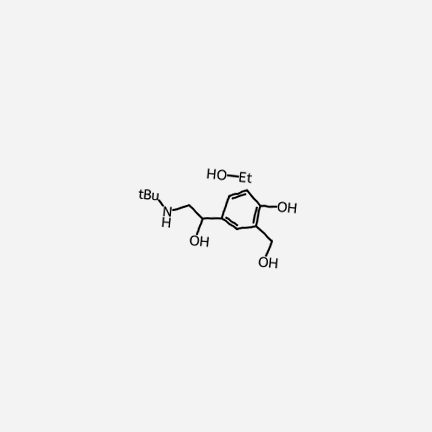 CC(C)(C)NCC(O)c1ccc(O)c(CO)c1.CCO